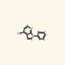 Clc1ccnc2c1ccn2-c1ccccc1